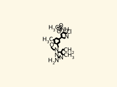 C=Cc1c(C)nc(N)nc1N1CCOc2c(C)cc(-c3cnc(Cl)c(NS(C)(=O)=O)c3)cc2C1